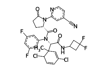 CC1([C@@H](C(=O)NC2CC(F)(F)C2)N(C(=O)[C@@H]2CCC(=O)N2c2cc(C#N)ccn2)c2cc(F)cc(F)c2)C=C(Cl)C=CC1Cl